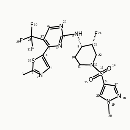 Cc1ncc(-c2nc(N[C@H]3CCN(S(=O)(=O)c4cnn(C)c4)C[C@H]3F)ncc2C(F)(F)F)s1